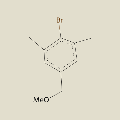 COCc1cc(C)c(Br)c(C)c1